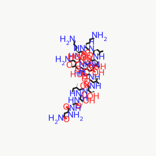 CC[C@H](C)[C@H](NC(=O)[C@@H](NC(=O)CNC(=O)[C@@H](N)CC(N)=O)[C@@H](C)O)C(=O)N[C@H](C(=O)N[C@H](C(=O)N[C@@H](CCC(=O)O)C(=O)N[C@@H](CCC(=O)O)C(=O)N[C@@H](CC(C)C)C(=O)N[C@@H](CCCCN)C(=O)N[C@@H](CCCCN)C(=O)N[C@@H](CC(C)C)C(=O)N[C@@H](CC(C)C)C(=O)N[C@@H](CCC(=O)O)C(=O)N[C@@H](CCC(N)=O)C(=O)O)C(C)C)[C@@H](C)O